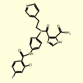 NC(=O)c1[nH]cnc1C(=O)N(CCc1ccncc1)c1ccc(NC(=O)c2ccc(F)cc2Cl)cc1